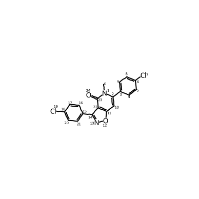 Cn1c(-c2ccc(Cl)cc2)cc2onc(-c3ccc(Cl)cc3)c2c1=O